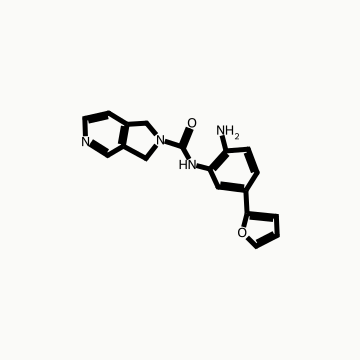 Nc1ccc(-c2ccco2)cc1NC(=O)N1Cc2ccncc2C1